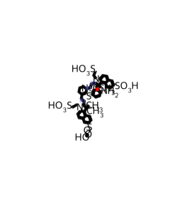 CC1(C)C(/C=C/C2=C(Sc3ccc(N)cc3)C(=C/C=C3/N(CCS(=O)(=O)O)c4ccc5cc(S(=O)(=O)O)ccc5c4C3(C)C)/CCC2)=[N+](CCS(=O)(=O)O)c2ccc3cc(SOOO)ccc3c21